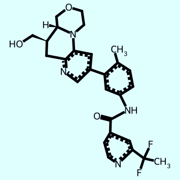 Cc1ccc(NC(=O)c2ccnc(C(C)(F)F)c2)cc1-c1cnc2c(c1)N1CCOC[C@H]1[C@H](CO)C2